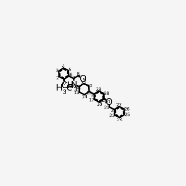 Cc1ccccc1C(C=O)N(C)C1CCC(c2ccc(OCc3ccccc3)cc2)CC1